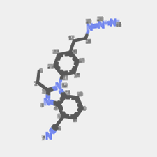 CCc1nc2c(C#N)cccc2n1-c1ccc(CCN=[N+]=[N-])cc1